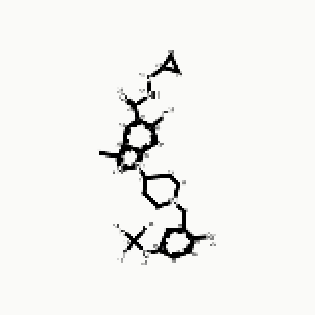 Cc1nn(C2CCN(Cc3cc(OC(F)(F)F)ccc3Br)CC2)c2cc(F)c(C(=O)NSC3CC3)cc12